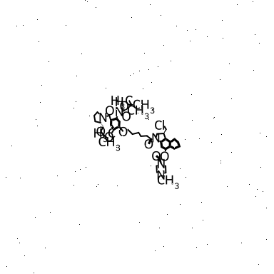 CC(=O)OC[C@@H]1CCCN1C(=O)c1cc(C)c(OCCCCCC(=O)N2C[C@@H](CCl)c3c2cc(OC(=O)N2CCN(C)CC2)c2ccccc32)cc1NC(=O)OC(C)(C)C